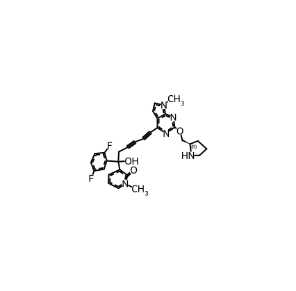 Cn1cccc(C(O)(CC#CC#Cc2nc(OC[C@H]3CCCN3)nc3c2ccn3C)c2cc(F)ccc2F)c1=O